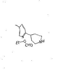 CCOC=O.Cc1ccc(C2CCNCC2)nc1